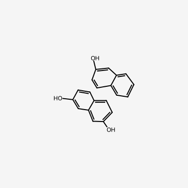 Oc1ccc2ccc(O)cc2c1.Oc1ccc2ccccc2c1